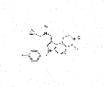 CCN(Cc1cn(Cc2ccc(F)cc2)c2cnc3c(c12)CCN(O)C3=O)CC1CC1